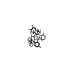 Cc1ccc(NS(C)(=O)=O)c(C(=O)N2CCC[C@H](C)[C@@H]2c2cc3nc(C)c(C)cn3n2)c1